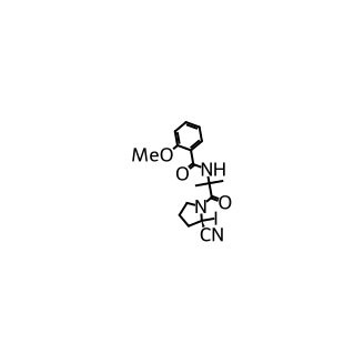 COc1ccccc1C(=O)NC(C)(C)C(=O)N1CCC[C@]1(I)C#N